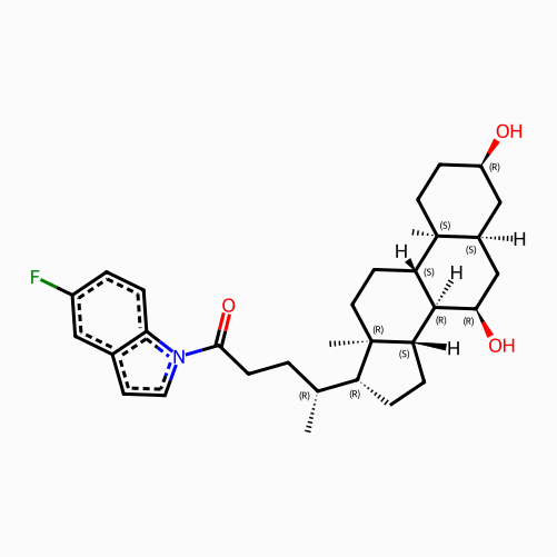 C[C@H](CCC(=O)n1ccc2cc(F)ccc21)[C@H]1CC[C@H]2[C@@H]3[C@H](O)C[C@@H]4C[C@H](O)CC[C@]4(C)[C@H]3CC[C@]12C